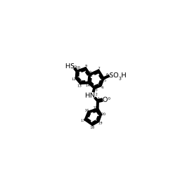 O=C(Nc1cc(S(=O)(=O)O)cc2cc(S)ccc12)c1ccccc1